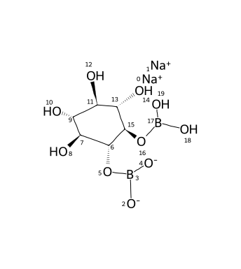 [Na+].[Na+].[O-]B([O-])O[C@@H]1[C@@H](O)[C@H](O)[C@@H](O)[C@H](O)[C@H]1OB(O)O